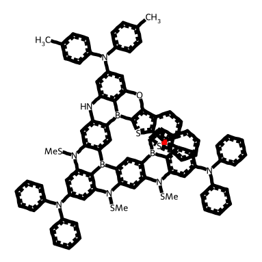 CSN1c2cc3c(cc2B2c4sc5ccccc5c4Oc4cc(N(c5ccccc5)c5ccccc5)cc1c42)B1c2cc4c(cc2N(SC)c2cc(N(c5ccccc5)c5ccccc5)cc(c21)N3SC)Nc1cc(N(c2ccc(C)cc2)c2ccc(C)cc2)cc2c1B4c1sc3ccccc3c1O2